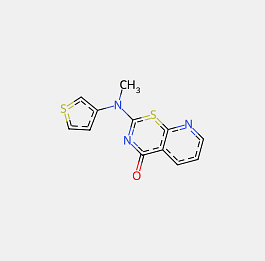 CN(c1ccsc1)c1nc(=O)c2cccnc2s1